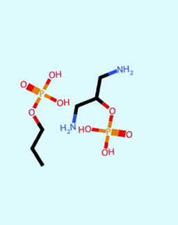 CCCOP(=O)(O)O.NCC(CN)OP(=O)(O)O